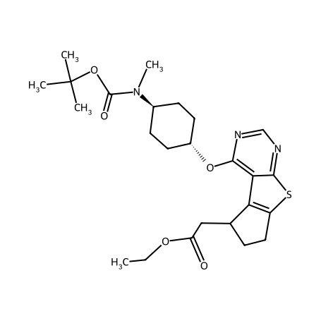 CCOC(=O)CC1CCc2sc3ncnc(O[C@H]4CC[C@H](N(C)C(=O)OC(C)(C)C)CC4)c3c21